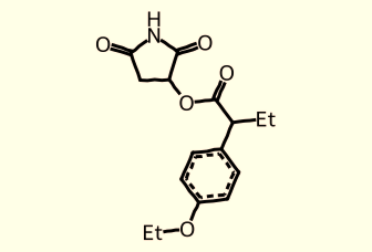 CCOc1ccc(C(CC)C(=O)OC2CC(=O)NC2=O)cc1